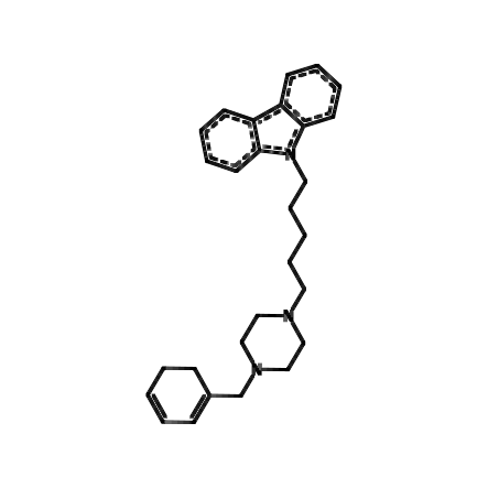 C1=CCCC(CN2CCN(CCCCCn3c4ccccc4c4ccccc43)CC2)=C1